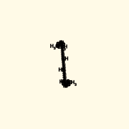 CN(C)C(=O)Oc1cccnc1C(=O)CNCCCCCCCCCCCNCCCCCCCCCCNCCCCCCCCCCCNCC(=O)c1ncccc1OC(=O)N(C)C